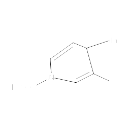 CCOC(=O)N1C=CC(C(C)C)C(C)=C1